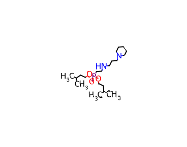 CC(C)CCOP(=O)(CCNCCCN1CCCCC1)OCCC(C)C